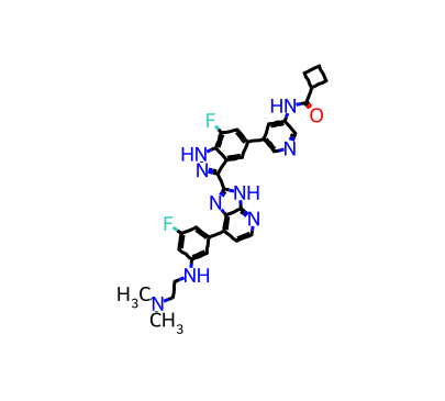 CN(C)CCNc1cc(F)cc(-c2ccnc3[nH]c(-c4n[nH]c5c(F)cc(-c6cncc(NC(=O)C7CCC7)c6)cc45)nc23)c1